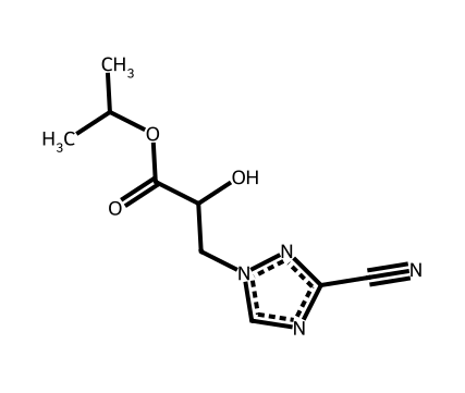 CC(C)OC(=O)C(O)Cn1cnc(C#N)n1